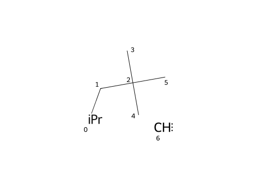 CC(C)CC(C)(C)C.[CH]